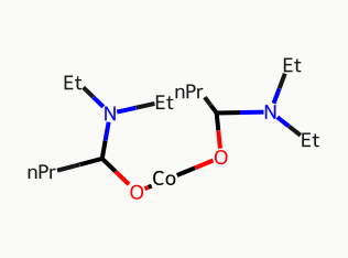 CCCC([O][Co][O]C(CCC)N(CC)CC)N(CC)CC